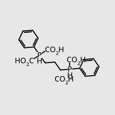 O=C(O)[PH](CCC[PH](C(=O)O)(C(=O)O)c1ccccc1)(C(=O)O)c1ccccc1